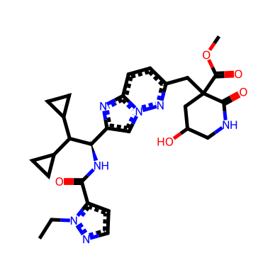 CCn1nccc1C(=O)N[C@H](c1cn2nc(CC3(C(=O)OC)CC(O)CNC3=O)ccc2n1)C(C1CC1)C1CC1